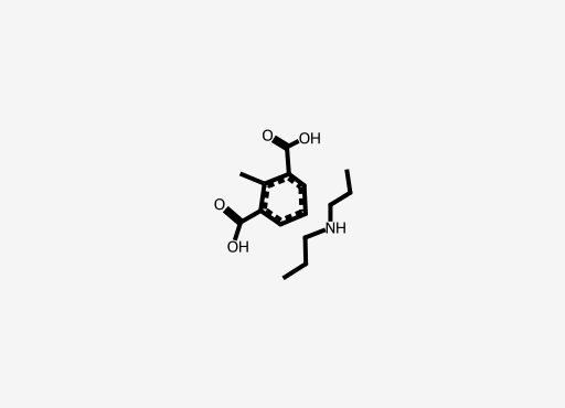 CCCNCCC.Cc1c(C(=O)O)cccc1C(=O)O